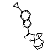 O=C(N[C@H]1C2CCN(CC2)C12CC2)c1cc2ccc(C3CC3)cc2s1